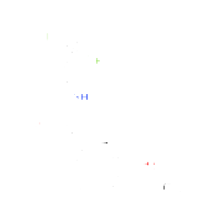 COc1cccc(C(=O)NCC(F)(F)F)c1